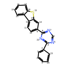 c1ccc(-c2ncnc(-c3ccc4c(c3)sc3ccccc34)n2)cc1